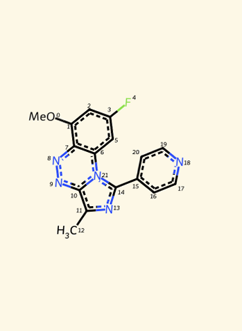 COc1cc(F)cc2c1nnc1c(C)nc(-c3ccncc3)n12